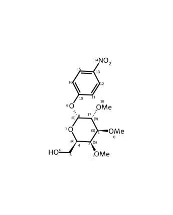 CO[C@H]1[C@@H](OC)[C@@H](CO)O[C@H](Oc2ccc([N+](=O)[O-])cc2)[C@@H]1OC